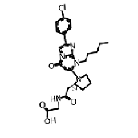 CCCCCn1c(N2CCC[C@H]2CC(=O)NCC(=O)O)cc(=O)n2cc(-c3ccc(Cl)cc3)nc12